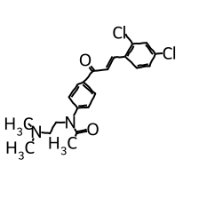 CC(=O)N(CCN(C)C)c1ccc(C(=O)C=Cc2ccc(Cl)cc2Cl)cc1